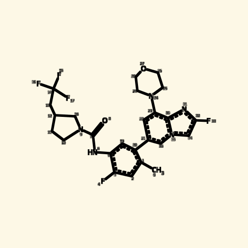 Cc1cc(F)c(NC(=O)N2CCC(CC(F)(F)F)C2)cc1-c1cc(N2CCOCC2)c2nc(F)cn2c1